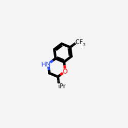 CC(C)C1CNc2ccc(C(F)(F)F)cc2O1